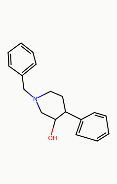 OC1CN(Cc2ccccc2)CCC1c1ccccc1